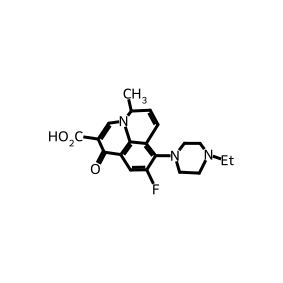 CCN1CCN(c2c(F)cc3c(=O)c(C(=O)O)cn4c3c2C=CC4C)CC1